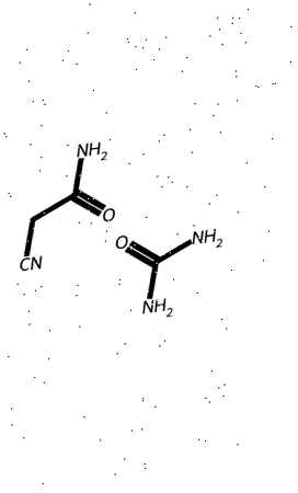 N#CCC(N)=O.NC(N)=O